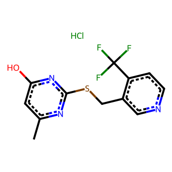 Cc1cc(O)nc(SCc2cnccc2C(F)(F)F)n1.Cl